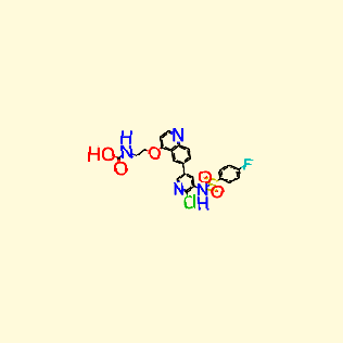 O=C(O)NCCOc1ccnc2ccc(-c3cnc(Cl)c(NS(=O)(=O)c4ccc(F)cc4)c3)cc12